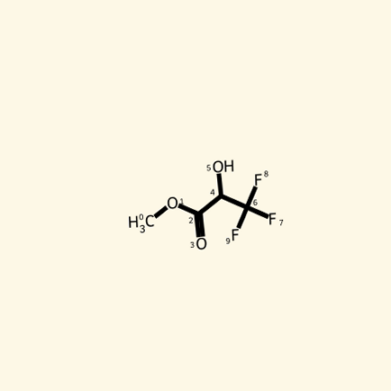 COC(=O)C(O)C(F)(F)F